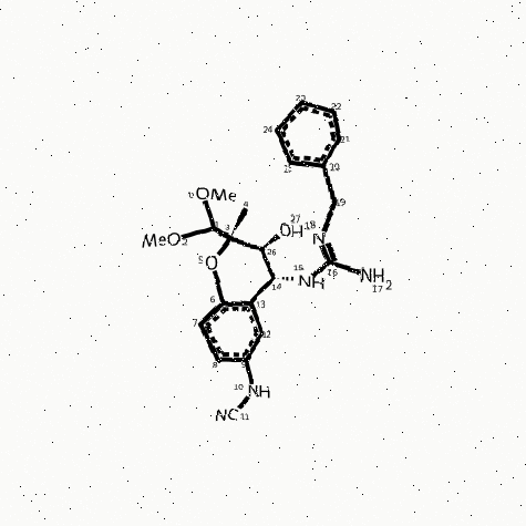 COC(OC)[C@@]1(C)Oc2ccc(NC#N)cc2[C@@H](NC(N)=NCc2ccccc2)[C@@H]1O